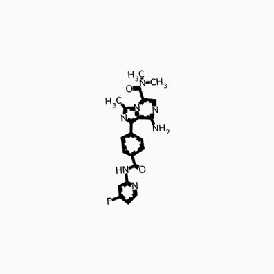 Cc1nc(-c2ccc(C(=O)Nc3cc(F)ccn3)cc2)c2c(N)ncc(C(=O)N(C)C)n12